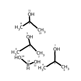 CC(C)O.CC(C)O.CC(C)O.OBO